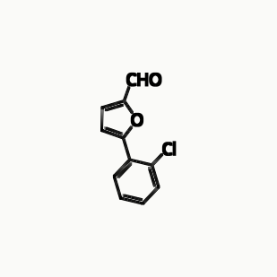 O=Cc1ccc(-c2ccccc2Cl)o1